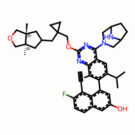 C#Cc1c(F)ccc2cc(O)cc(-c3c(C(C)C)cc4c(N5CC6CCC(C5)N6)nc(OCC5(CC6C[C@@]7(C)COC[C@]7(C)C6)CC5)nc4c3C)c12